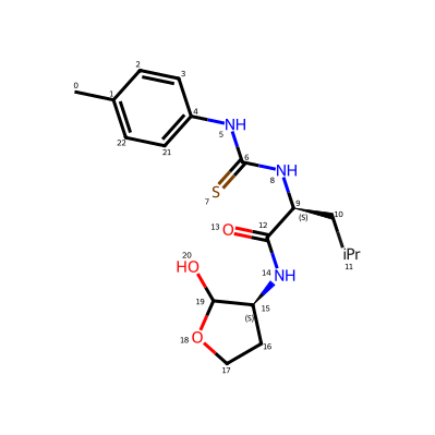 Cc1ccc(NC(=S)N[C@@H](CC(C)C)C(=O)N[C@H]2CCOC2O)cc1